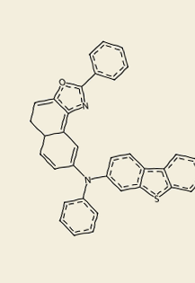 C1=CC2CC=c3oc(-c4ccccc4)nc3=C2C=C1N(c1ccccc1)c1ccc2c(c1)sc1ccccc12